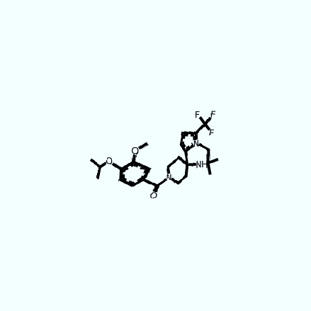 COc1cc(C(=O)N2CCC3(CC2)NC(C)(C)Cn2c(C(F)(F)F)ccc23)ccc1OC(C)C